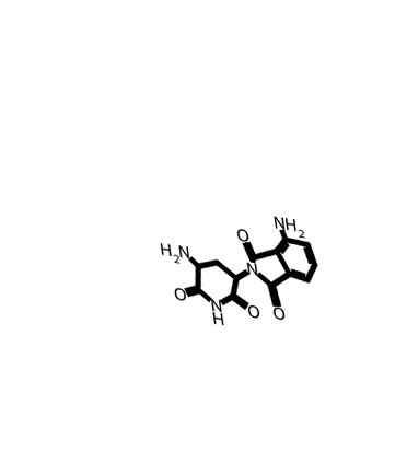 Nc1cccc2c1C(=O)N(C1CC(N)C(=O)NC1=O)C2=O